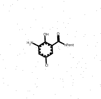 CCCCCC(=O)c1cc(Cl)cc(N)c1O